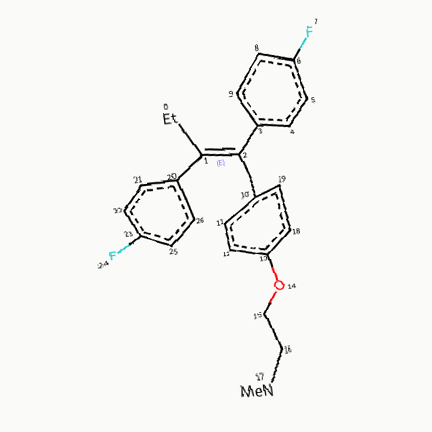 CC/C(=C(\c1ccc(F)cc1)c1ccc(OCCNC)cc1)c1ccc(F)cc1